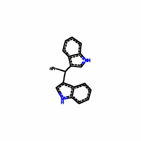 CCCC(c1c[nH]c2ccccc12)c1c[nH]c2ccccc12